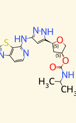 CC(C)NC(=O)O[C@@H]1CO[C@H](c2cc(Nc3nccc4ncsc34)n[nH]2)C1